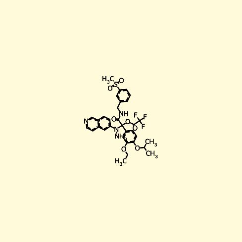 CCOc1cc(C(OC(=O)C(F)(F)F)(C(=O)NCc2cccc(S(C)(=O)=O)c2)N(N)c2ccc3cnccc3c2)ccc1OC(C)C